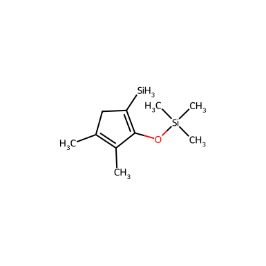 CC1=C(C)C(O[Si](C)(C)C)=C([SiH3])C1